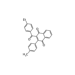 CCc1ccc(C(=O)C2=C(c3ccc(C)cc3)C(=O)c3ccccc3C2=O)cc1